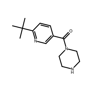 CC(C)(C)c1ccc(C(=O)N2CCNCC2)cn1